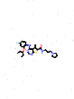 CCC(CC)Oc1cc(F)ccc1Nc1ncnc2sc(C(=O)NCCCN3CCCC3)c(C)c12